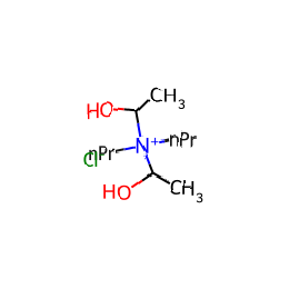 CCC[N+](CCC)(C(C)O)C(C)O.[Cl-]